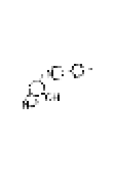 Cc1ccc(C2CCN(CC3CCc4cnccc4C(O)C3)CC2)cc1